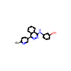 CC(C)(C)c1ccc(-c2nnc(Nc3cccc(O)c3)c3ccccc23)cn1